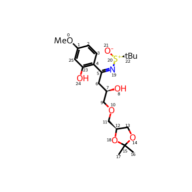 COc1ccc(C(C[C@@H](O)COC[C@H]2COC(C)(C)O2)=N[S@@+]([O-])C(C)(C)C)c(O)c1